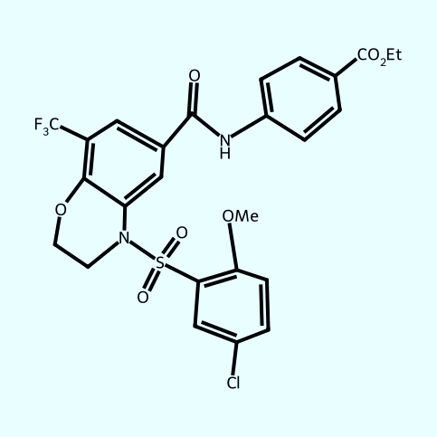 CCOC(=O)c1ccc(NC(=O)c2cc3c(c(C(F)(F)F)c2)OCCN3S(=O)(=O)c2cc(Cl)ccc2OC)cc1